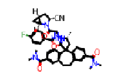 C[C@H](CC1(c2nnc(-c3ccc(F)cc3)o2)c2ccc(C(=O)N(C)C)cc2CCc2cc(C(=O)N(C)C)ccc21)NCC(=O)N1[C@H](C#N)C[C@@H]2C[C@@H]21